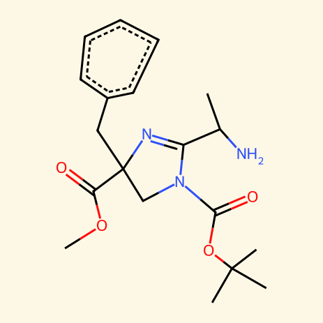 COC(=O)C1(Cc2ccccc2)CN(C(=O)OC(C)(C)C)C(C(C)N)=N1